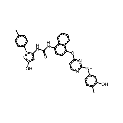 Cc1ccc(-n2nc(O)cc2NC(=O)Nc2ccc(Oc3ccnc(Nc4ccc(C)c(O)c4)n3)c3ccccc23)cc1